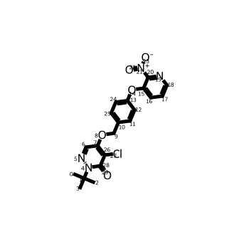 CC(C)(C)n1ncc(OCc2ccc(Oc3cccnc3[N+](=O)[O-])cc2)c(Cl)c1=O